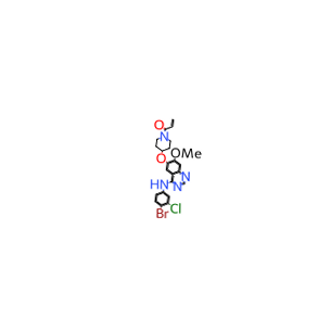 C=CC(=O)N1CCC(Oc2cc3c(Nc4ccc(Br)c(Cl)c4)ncnc3cc2OC)CC1